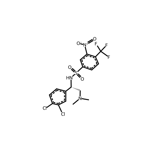 CN(C)C[C@@H](NS(=O)(=O)c1ccc(C(F)(F)F)c([N+](=O)[O-])c1)c1ccc(Cl)c(Cl)c1